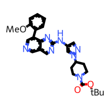 COc1ccccc1-c1cncc2cnc(Nc3cnn(C4CCN(C(=O)OC(C)(C)C)CC4)c3)nc12